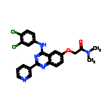 CN(C)C(=O)COc1ccc2nc(-c3cccnc3)nc(Nc3ccc(Cl)c(Cl)c3)c2c1